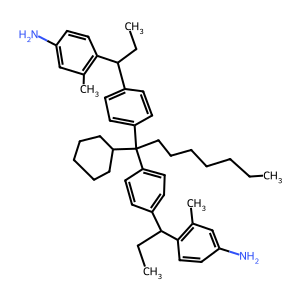 CCCCCCCC(c1ccc(C(CC)c2ccc(N)cc2C)cc1)(c1ccc(C(CC)c2ccc(N)cc2C)cc1)C1CCCCC1